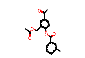 CC(=O)OCc1cc(C(C)=O)ccc1OC(=O)c1cccc(C)c1